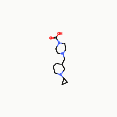 O=C(O)N1CCN(CC2CCCN(C3CC3)C2)CC1